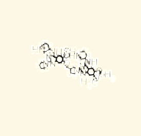 COc1cc2nc(N3CCC(COc4cc5nc(N6CCCC6)nc(N[C@@H]6CCCNC6)c5cc4OC)C3)nc(N[C@H]3CCCNC3)c2cc1OC